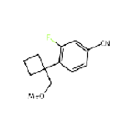 COCC1(c2ccc(C#N)cc2F)CCC1